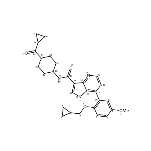 COc1ccc(OCC2CC2)c(-c2ncnc3c(C(=O)NC4CCN(C(=O)C5CC5)CC4)c[nH]c23)c1